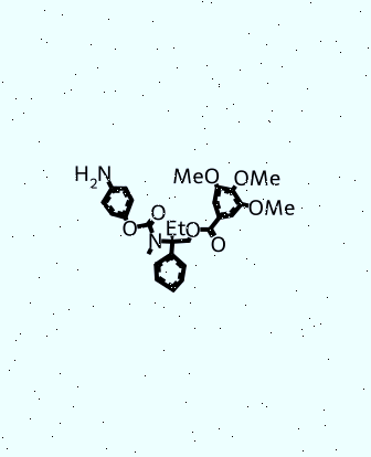 CC[C@@](COC(=O)c1cc(OC)c(OC)c(OC)c1)(c1ccccc1)N(C)C(=O)Oc1ccc(N)cc1